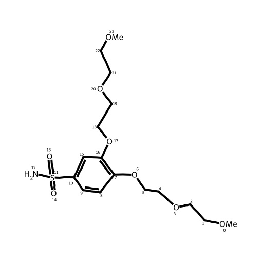 COCCOCCOc1ccc(S(N)(=O)=O)cc1OCCOCCOC